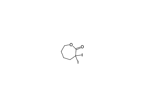 O=C1OCCCCC1(I)I